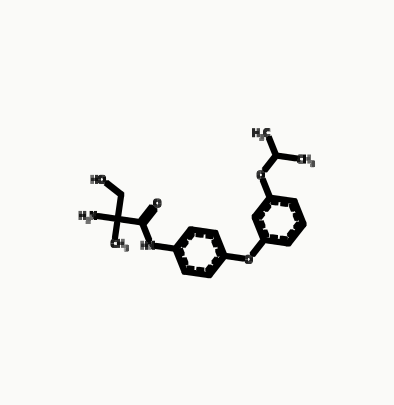 CC(C)Oc1cccc(Oc2ccc(NC(=O)C(C)(N)CO)cc2)c1